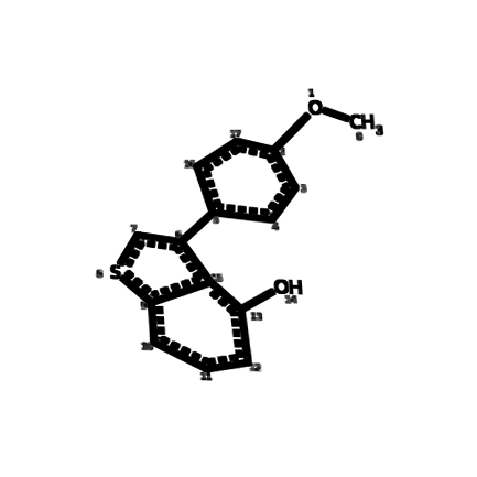 COc1ccc(-c2csc3cccc(O)c23)cc1